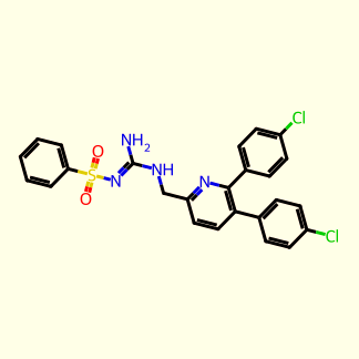 N/C(=N\S(=O)(=O)c1ccccc1)NCc1ccc(-c2ccc(Cl)cc2)c(-c2ccc(Cl)cc2)n1